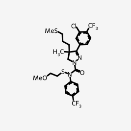 COCCSN(C(=O)N1CC(C)(CCCSC)C(c2ccc(C(F)(F)F)c(Cl)c2)=N1)c1ccc(C(F)(F)F)cc1